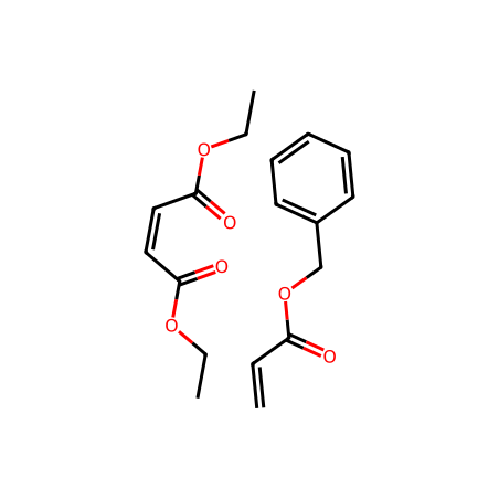 C=CC(=O)OCc1ccccc1.CCOC(=O)/C=C\C(=O)OCC